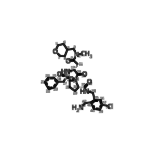 CN(CC1CCOCC1)C(=O)C[C@@H](NS(=O)(=O)Cc1ccccc1)C(=O)N1CCC[C@H]1C(=O)NCc1cc(Cl)ccc1CN